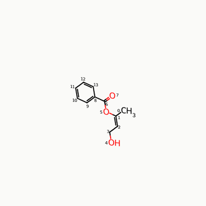 C/C(=C/CO)OC(=O)c1ccccc1